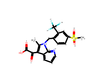 Cc1c(C(=O)C(=O)O)c2cccnc2n1Cc1ccc(S(C)(=O)=O)cc1C(F)(F)F